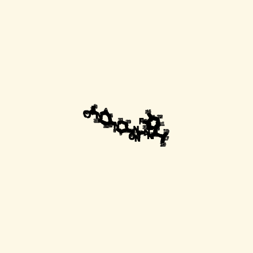 CC(=O)N1CCC(N2CCC(c3nc(-n4nc(C(C)C)c5ccc(C)c(F)c54)no3)CC2)CC1